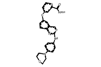 CNC(=O)c1cc(Oc2ccc3nc(Nc4ccc(N5CCOCC5)cc4)ncc3c2)ccn1